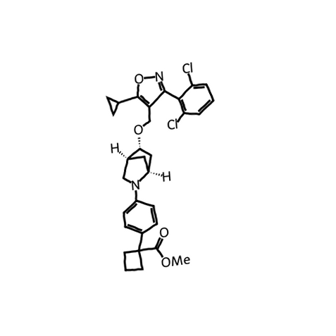 COC(=O)C1(c2ccc(N3C[C@@H]4C[C@H]3C[C@H]4OCc3c(-c4c(Cl)cccc4Cl)noc3C3CC3)cc2)CCC1